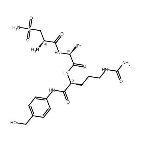 CC(C)[C@H](NC(=O)[C@@H](N)CS(N)(=O)=O)C(=O)N[C@@H](CCCNC(N)=O)C(=O)Nc1ccc(CO)cc1